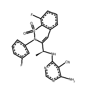 C[C@H](Nc1ncnc(N)c1C#N)C1=Cc2cccc(F)c2S(=O)(=O)N1c1cccc(F)c1